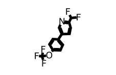 FC(F)c1ccc(-c2ccc(OC(F)(F)F)cc2)cn1